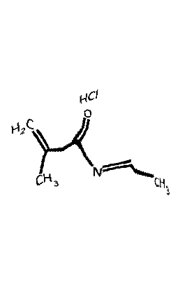 C=C(C)C(=O)N=CC.Cl